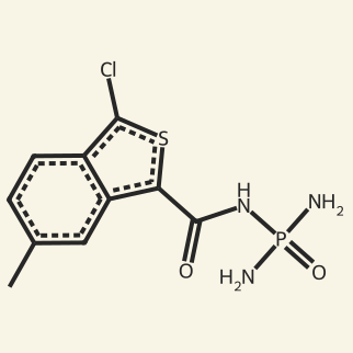 Cc1ccc2c(Cl)sc(C(=O)NP(N)(N)=O)c2c1